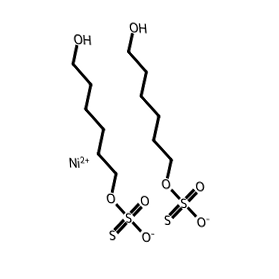 O=S([O-])(=S)OCCCCCCO.O=S([O-])(=S)OCCCCCCO.[Ni+2]